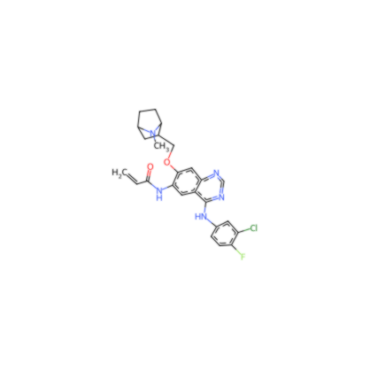 C=CC(=O)Nc1cc2c(Nc3ccc(F)c(Cl)c3)ncnc2cc1OCC1CC2CCC1N2C